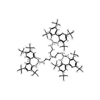 CC(C)(C)c1cc(C(C)(C)C)c2op(OCCN(CCOp3oc4c(C(C)(C)C)cc(C(C)(C)C)cc4c4cc(C(C)(C)C)cc(C(C)(C)C)c4o3)CCOp3oc4c(C(C)(C)C)cc(C(C)(C)C)cc4c4cc(C(C)(C)C)cc(C(C)(C)C)c4o3)oc3cc(C(C)(C)C)c(C(C)(C)C)cc3c2c1